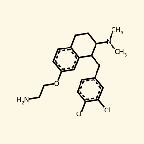 CN(C)C1CCc2ccc(OCCN)cc2C1Cc1ccc(Cl)c(Cl)c1